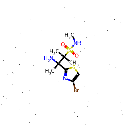 CNS(=O)(=O)C(C)(C)C(C)(N)c1nc(Br)cs1